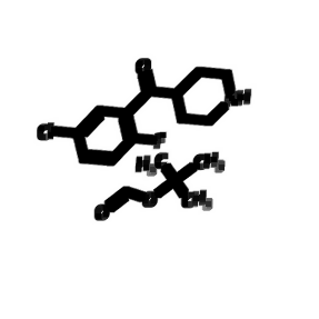 CC(C)(C)OC=O.O=C(c1cc(Cl)ccc1F)C1CCNCC1